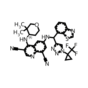 CC1(C)COCC[C@H]1Nc1c(C#N)cnc2c(C#N)cc(NC(c3cn(C4(C(F)(F)F)CC4)nn3)c3cccc4ncsc34)cc12